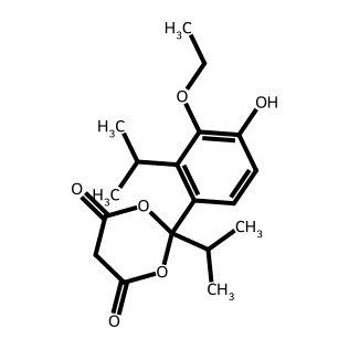 CCOc1c(O)ccc(C2(C(C)C)OC(=O)CC(=O)O2)c1C(C)C